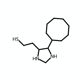 SCCC1NCNC1C1CCCCCCC1